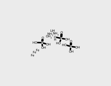 N.N.O.O=P(O)(O)O.O=P(O)(O)O.O=P(O)(O)O.[Fe].[Fe].[Fe].[LiH]